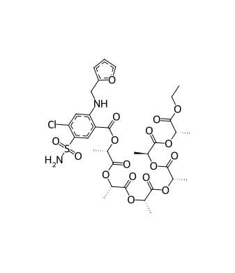 CCOC(=O)[C@H](C)OC(=O)[C@H](C)OC(=O)[C@H](C)OC(=O)[C@H](C)OC(=O)[C@H](C)OC(=O)[C@H](C)OC(=O)c1cc(S(N)(=O)=O)c(Cl)cc1NCc1ccco1